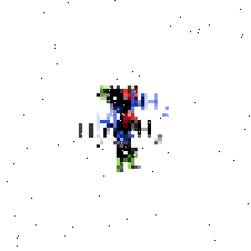 Cc1nn(Cc2ccc(F)c(F)c2)c(C)c1NC(=O)c1cc(C(N)=O)c2ccc(F)cc2n1